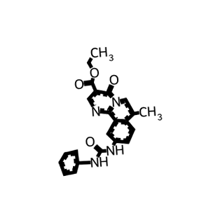 CCOC(=O)c1cnc2c3cc(NC(=O)Nc4ccccc4)ccc3c(C)cn2c1=O